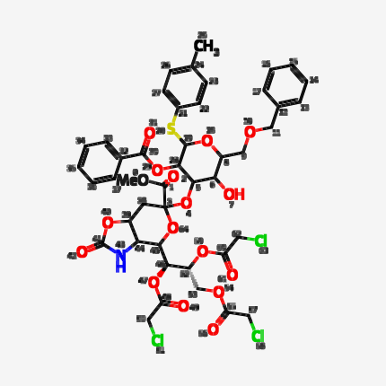 COC(=O)C1(OC2C(O)C(COCc3ccccc3)OC(Sc3ccc(C)cc3)C2OC(=O)c2ccccc2)CC2OC(=O)NC2C([C@H](OC(=O)CCl)[C@@H](COC(=O)CCl)OC(=O)CCl)O1